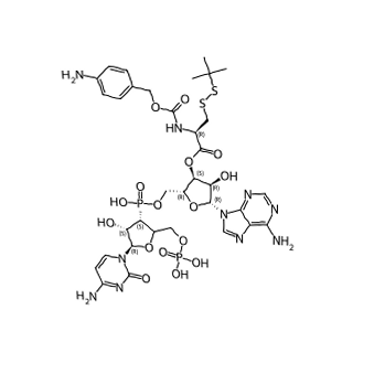 CC(C)(C)SSC[C@H](NC(=O)OCc1ccc(N)cc1)C(=O)O[C@H]1[C@@H](O)[C@H](n2cnc3c(N)ncnc32)O[C@@H]1COP(=O)(O)[C@@H]1C(COP(=O)(O)O)O[C@@H](n2ccc(N)nc2=O)[C@@H]1O